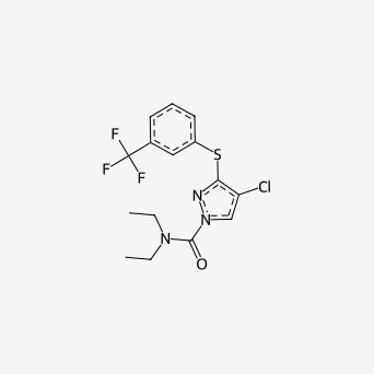 CCN(CC)C(=O)n1cc(Cl)c(Sc2cccc(C(F)(F)F)c2)n1